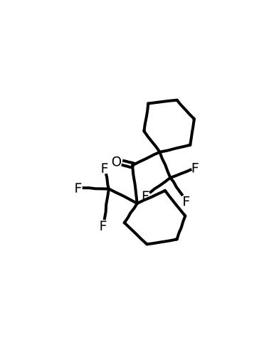 O=C(C1(C(F)(F)F)CCCCC1)C1(C(F)(F)F)CCCCC1